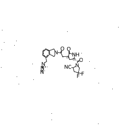 N#CC1CC(F)(F)CN1C(=O)[C@@H]1C[C@@H](CC(=O)N2Cc3cccc(CN=[N+]=[N-])c3C2)C(=O)N1